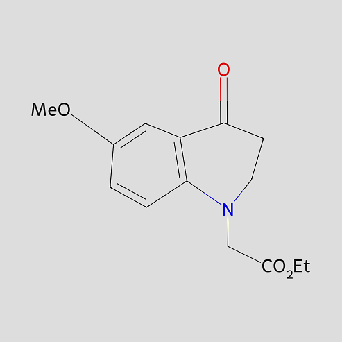 CCOC(=O)CN1CCC(=O)c2cc(OC)ccc21